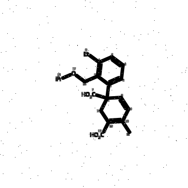 CCc1cccc(C2(C(=O)O)C=CC(C)=C(C(=O)O)C2)c1COC(C)C